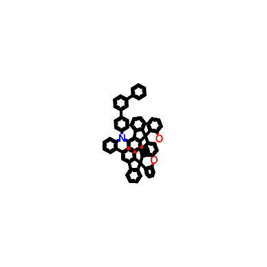 c1ccc(-c2cccc(-c3ccc(N(c4ccccc4-c4ccc5c(c4)-c4ccccc4C54c5ccccc5Oc5ccccc54)c4cccc5c4-c4ccccc4C54c5ccccc5Oc5ccccc54)cc3)c2)cc1